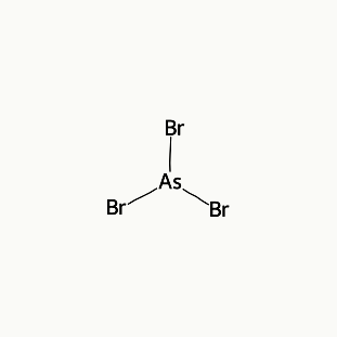 Br[As](Br)Br